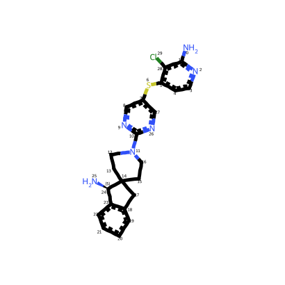 Nc1nccc(Sc2cnc(N3CCC4(CC3)Cc3ccccc3[C@H]4N)nc2)c1Cl